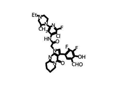 CCN1CCN(c2cc(NC(=O)Cn3cc(-c4cc(C=O)c(O)c(F)c4F)c4c(=O)n5c(nc43)CCCC5)c(Cl)c(F)n2)C(C)C1